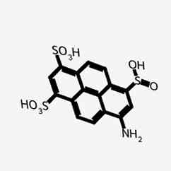 Nc1cc(S(=O)O)c2ccc3c(S(=O)(=O)O)cc(S(=O)(=O)O)c4ccc1c2c43